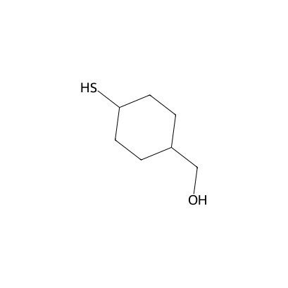 OCC1CCC(S)CC1